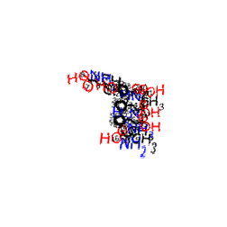 CC(C)C[C@@H](N)C(=O)O.CC(C)[C@@H](N)C(=O)O.C[C@@H](NC(=O)c1ccc(O)cc1)C(=O)O.N[C@H](Cc1ccccc1)C(=O)O.N[C@H](Cc1ccccc1)C(=O)O